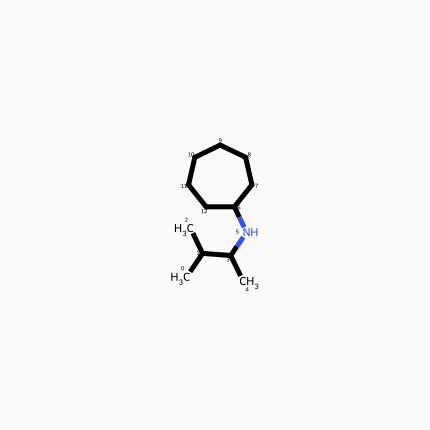 CC(C)C(C)NC1CCCCCC1